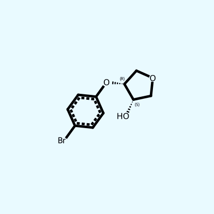 O[C@H]1COC[C@H]1Oc1ccc(Br)cc1